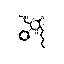 CBCC1OC(=O)[C@@](C)(CCCCC)N[C@@H]1c1ccccc1